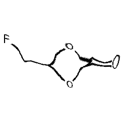 O=C1OC(CF)O1